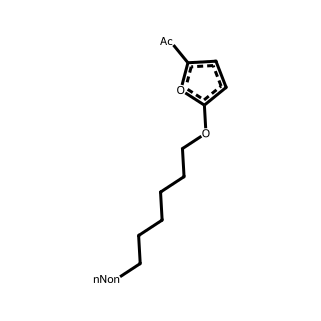 CCCCCCCCCCCCCCCOc1ccc(C(C)=O)o1